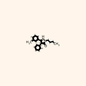 CCCCn1[nH]c(-c2cccc(C)c2)c(-c2ccccc2)c1=O